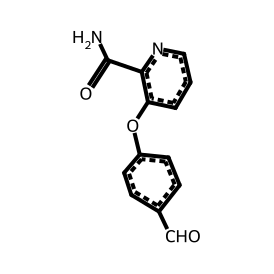 NC(=O)c1ncccc1Oc1ccc(C=O)cc1